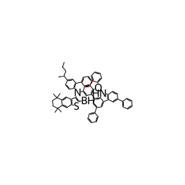 CCC[C@H](C)c1ccc(N2c3cc4c(oc5ccccc54)c(-c4cc(-c5ccccc5)cc5c4[nH]c4ccc(-c6ccccc6)cc45)c3Bc3sc4cc5c(cc4c32)C(C)(C)CCC5(C)C)c(-c2ccccc2)c1